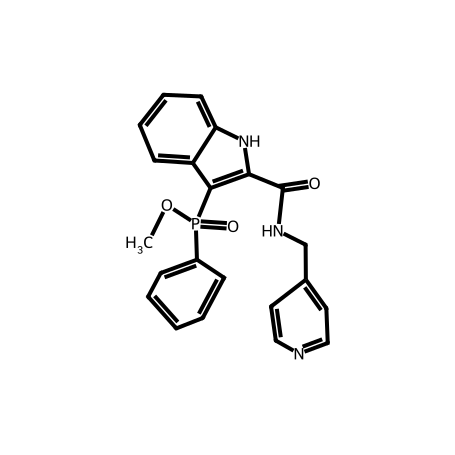 COP(=O)(c1ccccc1)c1c(C(=O)NCc2ccncc2)[nH]c2ccccc12